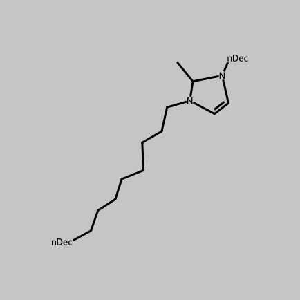 CCCCCCCCCCCCCCCCCCN1C=CN(CCCCCCCCCC)C1C